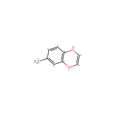 FC(F)(F)c1ccc2c(c1)OC=[C]O2